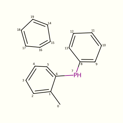 Cc1ccccc1Pc1ccccc1.c1ccccc1